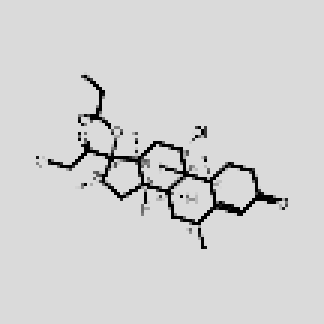 CCC(=O)O[C@]1(C(=O)CCl)[C@@H](C)C[C@H]2[C@@H]3C[C@H](C)C4=CC(=O)CC[C@]4(C)[C@@]3(F)[C@@H](O)C[C@@]21C